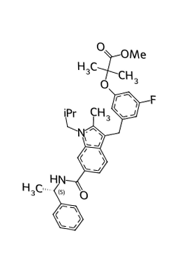 COC(=O)C(C)(C)Oc1cc(F)cc(Cc2c(C)n(CC(C)C)c3cc(C(=O)N[C@@H](C)c4ccccc4)ccc23)c1